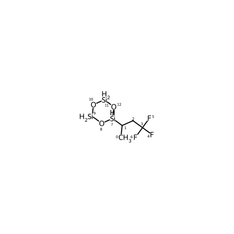 CC(CC(F)(F)F)[SiH]1O[SiH2]O[SiH2]O1